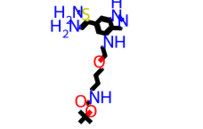 CC(C)(C)OC(=O)NCCCCOCCNc1cc(/C(=C/N)SN)cc2[nH]ncc12